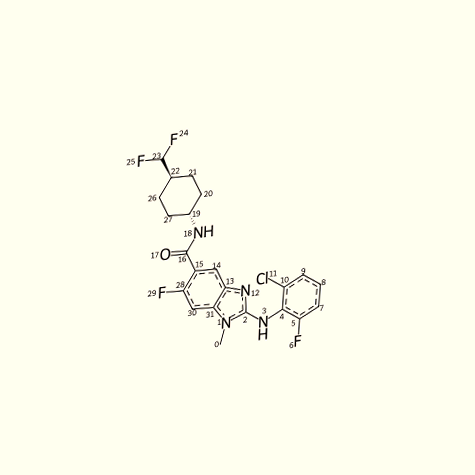 Cn1c(Nc2c(F)cccc2Cl)nc2cc(C(=O)N[C@H]3CC[C@H](C(F)F)CC3)c(F)cc21